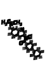 CN(C)CC1=Cc2ncc(N(Cl)C(=O)c3ccc(-c4ccccc4)cc3)cc2CC1